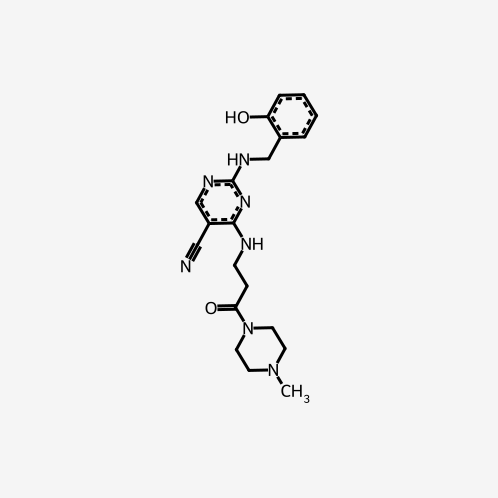 CN1CCN(C(=O)CCNc2nc(NCc3ccccc3O)ncc2C#N)CC1